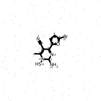 CC1=C(C#N)C(c2ccc(Br)o2)=NC(N)N1S